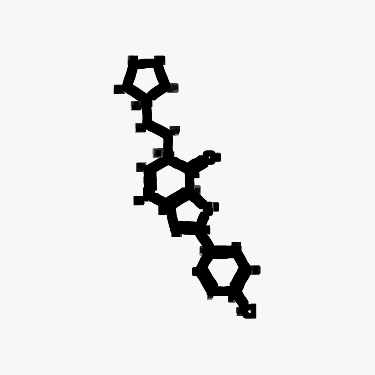 O=c1c2sc(-c3ccc(Cl)cc3)cc2ncn1CCN1CCCC1